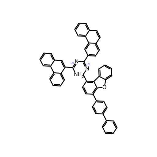 N/C(=N\C(=N/Cc1ccc(-c2ccc(-c3ccccc3)cc2)c2oc3ccccc3c12)c1ccc2ccc3ccccc3c2c1)c1cc2ccccc2c2ccccc12